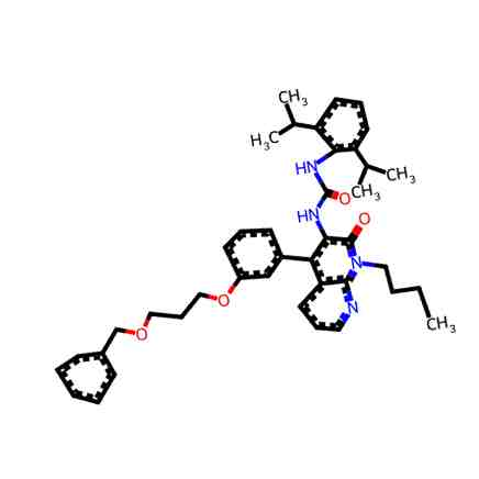 CCCCn1c(=O)c(NC(=O)Nc2c(C(C)C)cccc2C(C)C)c(-c2cccc(OCCCOCc3ccccc3)c2)c2cccnc21